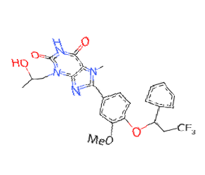 COc1cc(-c2nc3c(c(=O)[nH]c(=O)n3CC(C)O)n2C)ccc1OC(CC(F)(F)F)c1ccccc1